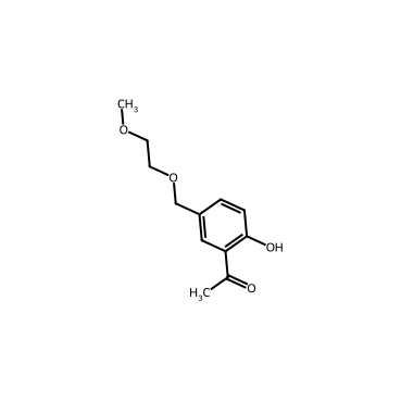 COCCOCc1ccc(O)c(C(C)=O)c1